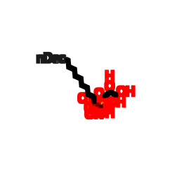 CCCCCCCCCCCCCCCCCC(=O)C(OC(C(O)CO)P(=O)(O)O)[C@H](CO)OO